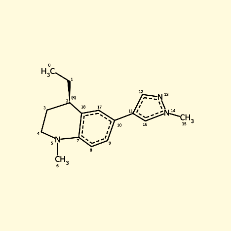 CC[C@@H]1CCN(C)c2ccc(-c3cnn(C)c3)cc21